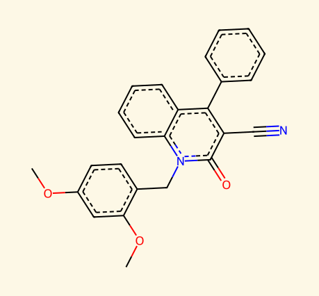 COc1ccc(Cn2c(=O)c(C#N)c(-c3ccccc3)c3ccccc32)c(OC)c1